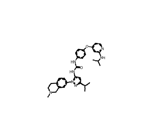 CC(C)Nc1cc(Oc2ccc(NC(=O)Nc3cc(C(C)C)nn3-c3ccc4c(c3)CN(C)CC4)cc2)ccn1